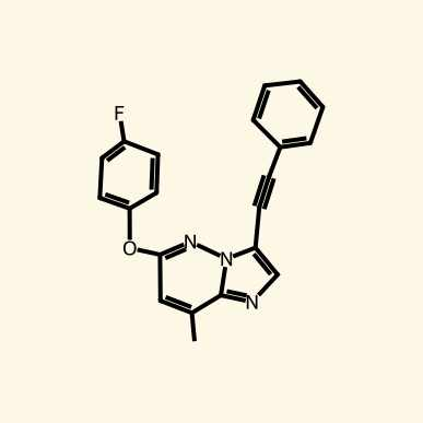 Cc1cc(Oc2ccc(F)cc2)nn2c(C#Cc3ccccc3)cnc12